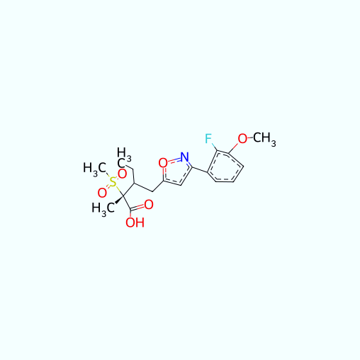 CCC(Cc1cc(-c2cccc(OC)c2F)no1)[C@](C)(C(=O)O)S(C)(=O)=O